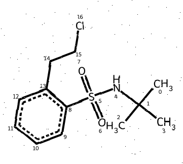 CC(C)(C)NS(=O)(=O)c1ccccc1CCCl